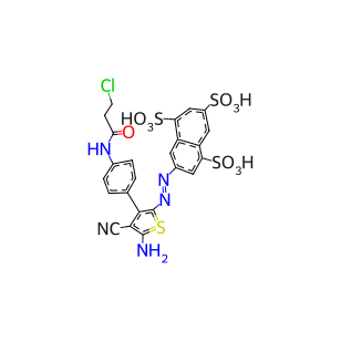 N#Cc1c(N)sc(/N=N/c2cc(S(=O)(=O)O)c3cc(S(=O)(=O)O)cc(S(=O)(=O)O)c3c2)c1-c1ccc(NC(=O)CCCl)cc1